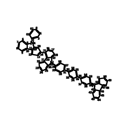 c1ccc(-n2c3ccccc3c3ccc(-c4cccc5c4c4ccccc4n5-c4ccc(-c5ccc(-c6ccc(-n7c8ccccc8c8ccccc87)cc6)cc5)cc4)cc32)cc1